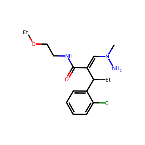 CCOCCNC(=O)/C(=C/N(C)N)C(CC)c1ccccc1Cl